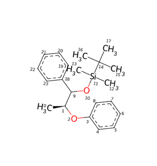 C[C@H](Oc1ccccc1)C(O[Si](C)(C)C(C)(C)C)c1ccccc1